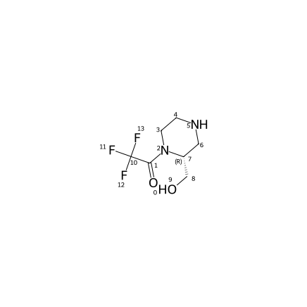 O=C(N1CCNC[C@@H]1CO)C(F)(F)F